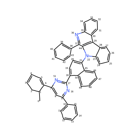 CC1CC=CC=C1c1cc(-c2ccccc2)nc(-c2ccc(-n3c4ccccc4c4c5ccccc5nc(-c5ccccc5)c43)c3ccccc23)n1